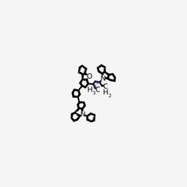 C=C/C(=C\C(=C/C)c1cc(-c2cccc(-c3ccc4c(c3)c3ccccc3n4-c3ccccc3)c2)cc2c1oc1ccccc12)n1c2ccccc2c2ccccc21